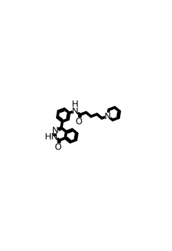 O=C(CCCCN1CC=CCC1)Nc1cccc(-c2n[nH]c(=O)c3ccccc23)c1